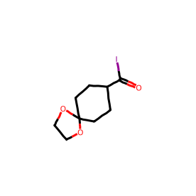 O=C(I)C1CCC2(CC1)OCCO2